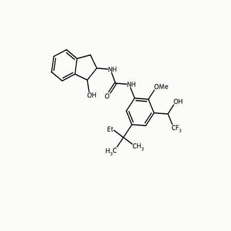 CCC(C)(C)c1cc(NC(=O)NC2Cc3ccccc3C2O)c(OC)c(C(O)C(F)(F)F)c1